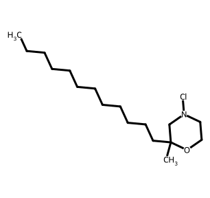 CCCCCCCCCCCCC1(C)CN(Cl)CCO1